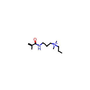 C=C(C)C(=O)NCCC[N+](C)(C)CCC